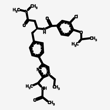 CCn1cc(-c2ccc(C[C@@H](CC(=O)N(C)C)NC(=O)c3ccc(OC(C)C)c(Cl)c3)cc2)nc1C(C)NC(C)=O